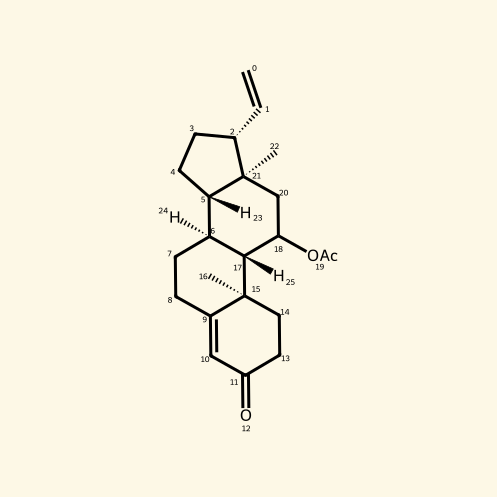 C=C[C@H]1CC[C@H]2[C@@H]3CCC4=CC(=O)CC[C@]4(C)[C@H]3C(OC(C)=O)C[C@]12C